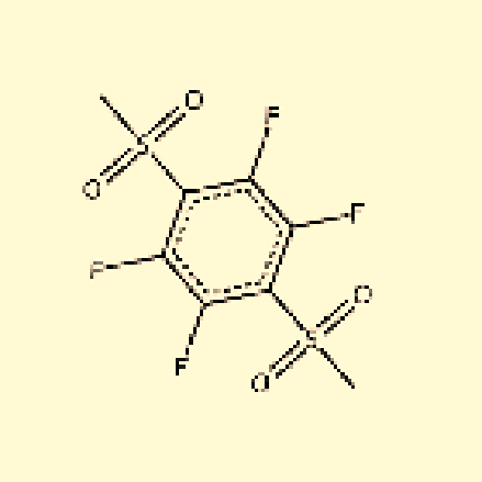 CS(=O)(=O)c1c(F)c(F)c(S(C)(=O)=O)c(F)c1F